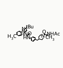 CC(=O)N[C@H](C)C(=O)N1CCC(Cc2ccc(NC(=O)Nc3cc(C(C)(C)C)nn3-c3ccc(C)cc3)cc2)CC1